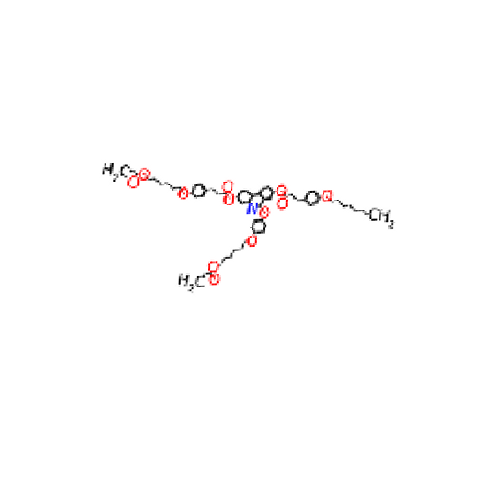 C=CCCCCCCOc1ccc(CCC(=O)Oc2ccc3c(c2)c(Oc2ccc(OCCCCCCOC(=O)C=C)cc2)nc2cc(OC(=O)CCc4ccc(OCCCCCCOC(=O)C=C)cc4)ccc23)cc1